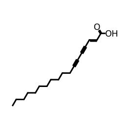 CCCCCCCCCCCC#CC#CC=CC(=O)O